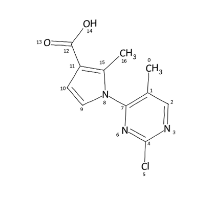 Cc1cnc(Cl)nc1-n1ccc(C(=O)O)c1C